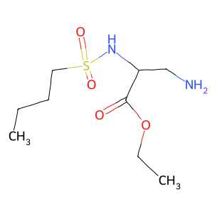 CCCCS(=O)(=O)NC(CN)C(=O)OCC